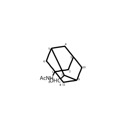 CC(=O)NC12CC3CC(C1)C(C=O)C(C3)C2